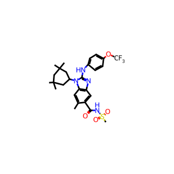 Cc1cc2c(cc1C(=O)NS(C)(=O)=O)nc(Nc1ccc(OC(F)(F)F)cc1)n2C1CC(C)(C)CC(C)(C)C1